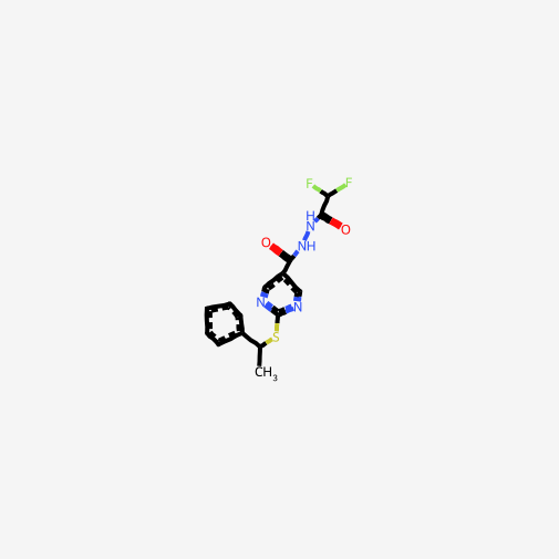 CC(Sc1ncc(C(=O)NNC(=O)C(F)F)cn1)c1ccccc1